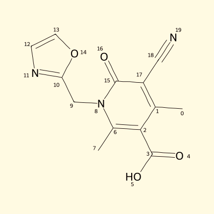 Cc1c(C(=O)O)c(C)n(Cc2ncco2)c(=O)c1C#N